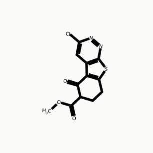 COC(=O)C1CCc2sc3nnc(Cl)cc3c2C1=O